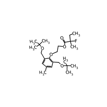 CCC(C)(F)C(=O)OCCOc1c(COC(C)(C)C)cc(C)cc1COC(C)(C)C